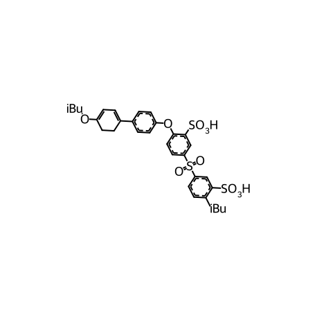 CCC(C)OC1=CC=C(c2ccc(Oc3ccc(S(=O)(=O)c4ccc(C(C)CC)c(S(=O)(=O)O)c4)cc3S(=O)(=O)O)cc2)CC1